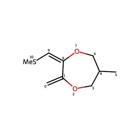 C=C1OCC(C)CO/C1=C/SC